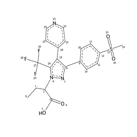 CCC(C(=O)O)n1nc(-c2ccc(S(C)(=O)=O)cc2)c(-c2ccncc2)c1C(F)(F)F